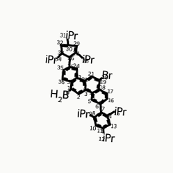 Bc1cc2c3cc(-c4c(C(C)C)cc(C(C)C)cc4C(C)C)ccc3c(Br)cc2c2cc(C3C(C(C)C)=CC(C(C)C)=CC3C(C)C)ccc12